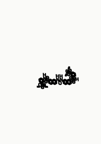 CCOP(=O)(OCC)c1cccc(NS(=O)(=O)c2ccc3ccc(NC(=O)Nc4ccc5ccc(S(=O)(=O)Nc6cccc(P(=O)(OCC)OCC)c6)cc5c4)cc3c2)c1